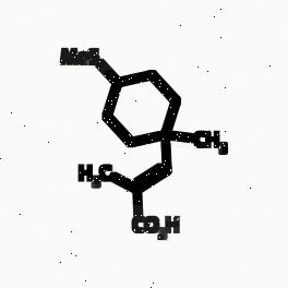 CSC1CCC(C)(C=C(C)C(=O)O)CC1